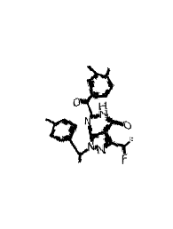 Cc1ccc(C(C)n2nc(C(F)F)c3c(=O)[nH]c(C(=O)c4ccc(C)c(C)c4)nc32)cc1